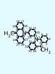 C=C1c2ccccc2N(c2cccc(N3c4ccccc4C(=C)c4ccccc43)c2)c2ccccc21